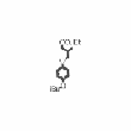 CCOC(=O)CC(C)COc1ccc(OC(C)CC)cc1